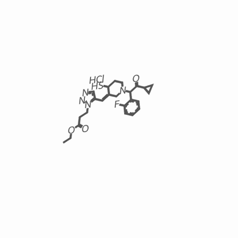 CCOC(=O)CCn1nncc1C=C1CN(C(C(=O)C2CC2)c2ccccc2F)CCC1S.Cl